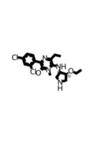 CCO[C@H]1CNC[C@H]1Nc1c(CC)nc(-c2ccc(Cl)cc2Cl)c(=O)n1C